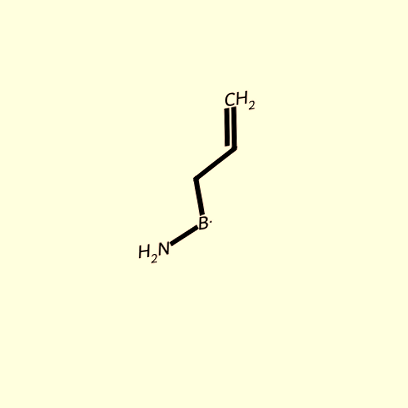 C=CC[B]N